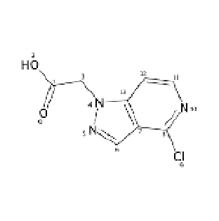 O=C(O)Cn1ncc2c(Cl)nccc21